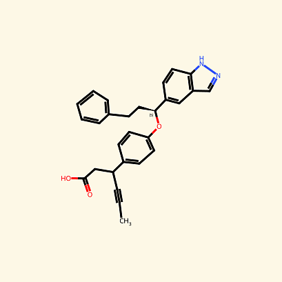 CC#CC(CC(=O)O)c1ccc(O[C@@H](CCc2ccccc2)c2ccc3[nH]ncc3c2)cc1